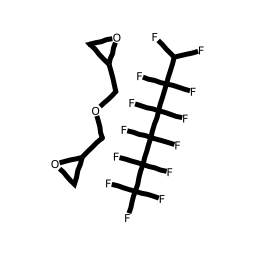 C(OCC1CO1)C1CO1.FC(F)C(F)(F)C(F)(F)C(F)(F)C(F)(F)C(F)(F)F